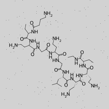 CCNC(=O)C(CC)NC(=O)[C@H](CCN)NC(=O)[C@H](CCN)NC(=O)[C@H](CC(C)C)NC(=O)CNC(=O)C(CCN)NC(=O)CNC(=O)C(CCN)NC(=O)C(CC)NC(=O)CCCN